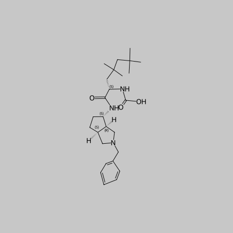 CC(C)(C)CC(C)(C)C[C@H](NC(=O)O)C(=O)N[C@H]1CC[C@@H]2CN(Cc3ccccc3)C[C@@H]21